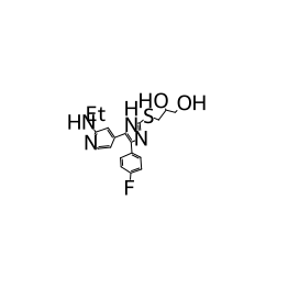 CCNc1cc(-c2[nH]c(SCC(O)CO)nc2-c2ccc(F)cc2)ccn1